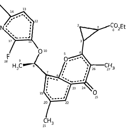 CCOC(=O)C1CC1c1oc2c([C@@H](C)Oc3ccc(Cl)nc3F)cc(C)cc2c(=O)c1C